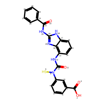 O=C(O)c1cccc(N(S)C(=O)Nc2cccc3[nH]c(NC(=O)c4ccccc4)nc23)c1